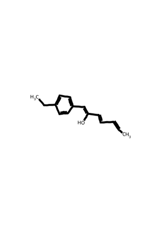 CC=CC=CC(O)=Cc1ccc(CC)cc1